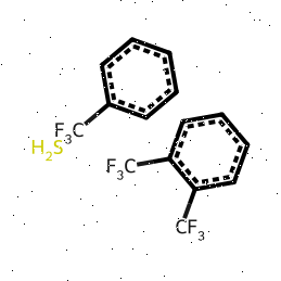 FC(F)(F)c1ccccc1.FC(F)(F)c1ccccc1C(F)(F)F.S